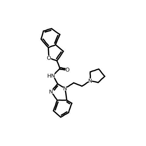 O=C(Nc1nc2ccccc2n1CCN1CCCC1)c1cc2ccccc2o1